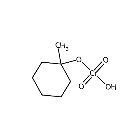 CC1([O][Cr](=[O])(=[O])[OH])CCCCC1